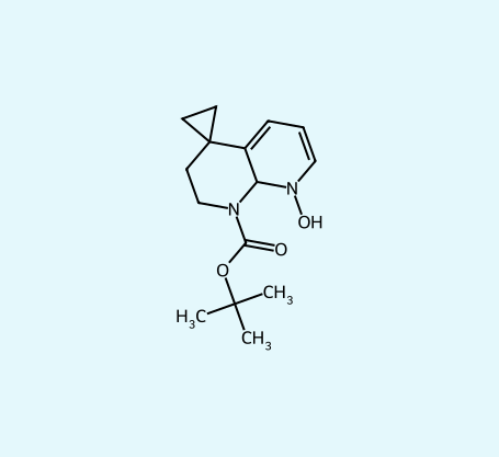 CC(C)(C)OC(=O)N1CCC2(CC2)C2=CC=CN(O)C21